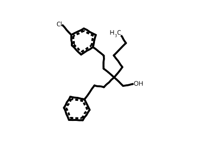 CCCCC(CO)(CCc1ccccc1)CCc1ccc(Cl)cc1